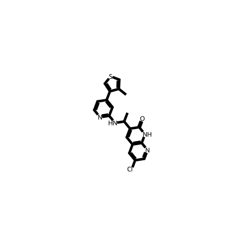 Cc1cscc1-c1ccnc(NC(C)c2cc3cc(Cl)cnc3[nH]c2=O)c1